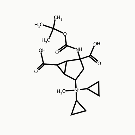 CC(C)(C)OC(=O)NC1(C(=O)O)CC([N+](C)(C2CC2)C2CC2)C2C(C(=O)O)C21